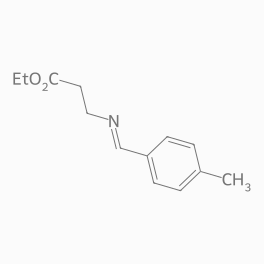 CCOC(=O)CCN=Cc1ccc(C)cc1